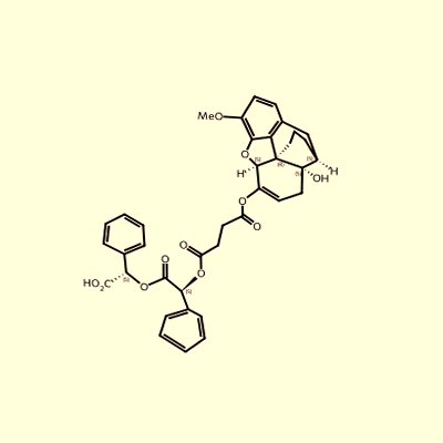 COc1ccc2c3c1O[C@@H]1C(OC(=O)CCC(=O)O[C@H](C(=O)O[C@H](C(=O)O)c4ccccc4)c4ccccc4)=CC[C@]4(O)[C@@H](CCC[C@@]314)C2